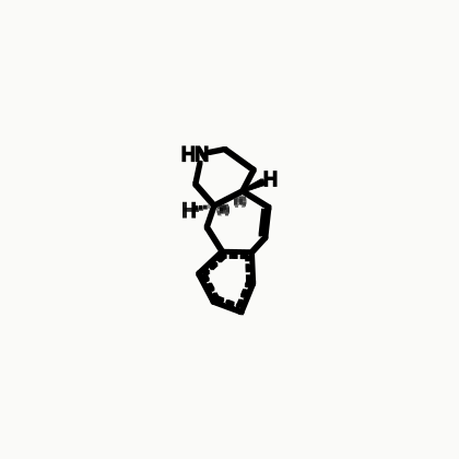 C1=C[C@H]2CCNC[C@@H]2Cc2ccccc21